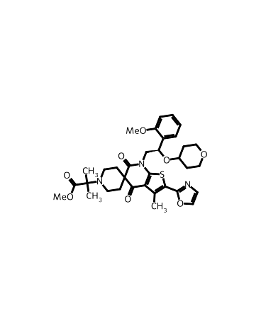 COC(=O)C(C)(C)N1CCC2(CC1)C(=O)c1c(sc(-c3ncco3)c1C)N(C[C@H](OC1CCOCC1)c1ccccc1OC)C2=O